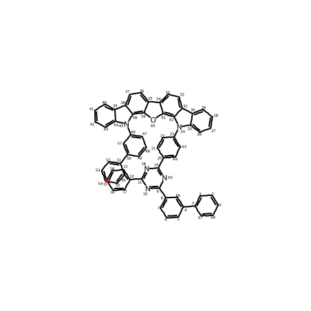 c1ccc(-c2cccc(-c3nc(-c4ccccc4)nc(-c4ccc(-n5c6ccccc6c6ccc7c8ccc9c%10ccccc%10n(-c%10cccc(-c%11ccccc%11)c%10)c9c8oc7c65)cc4)n3)c2)cc1